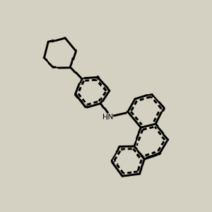 c1ccc2c(c1)ccc1cccc(Nc3ccc(C4CCCCC4)cc3)c12